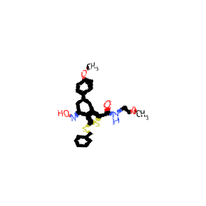 COCCNC(=O)c1sc(SCc2ccccc2)c2c1CC(c1ccc(OC)cc1)C/C2=N\O